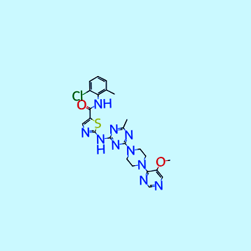 COc1cncnc1N1CCN(c2nc(C)nc(Nc3ncc(C(=O)Nc4c(C)cccc4Cl)s3)n2)CC1